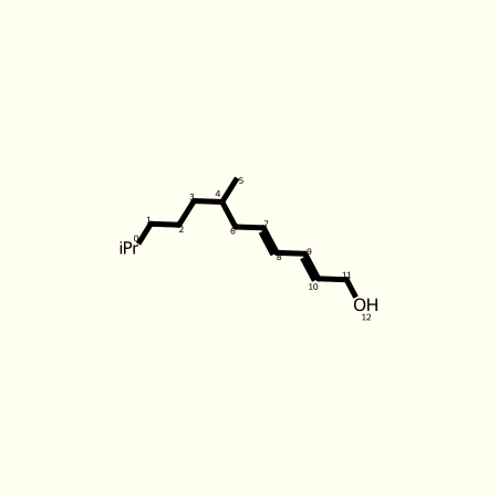 CC(C)CCCC(C)CC=CC=CCO